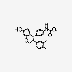 COC(=O)Nc1ccc(C2c3ccc(O)cc3OCC2c2ccc(C)c(C)c2)cc1